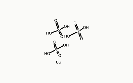 O=S(=O)(O)O.O=S(=O)(O)O.O=S(=O)(O)O.[Cu]